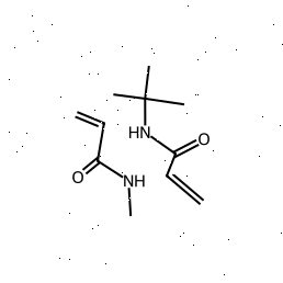 C=CC(=O)NC.C=CC(=O)NC(C)(C)C